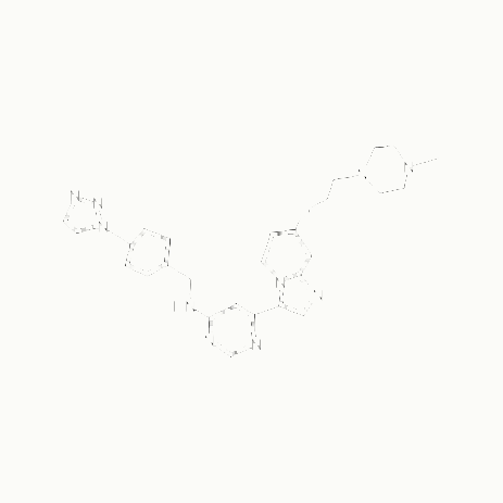 CN1CCN(CCOc2ccn3c(-c4cc(NCc5ccc(-n6ccnn6)cc5)ncn4)cnc3c2)CC1